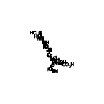 Cc1c(COc2cc(OCc3cncc(C#N)c3)c(CNC[C@@H](O)CC(=O)O)cc2Cl)cccc1-c1cccc(-c2ccc(CNCCNC[C@@H](O)CC(=O)O)nc2)c1C